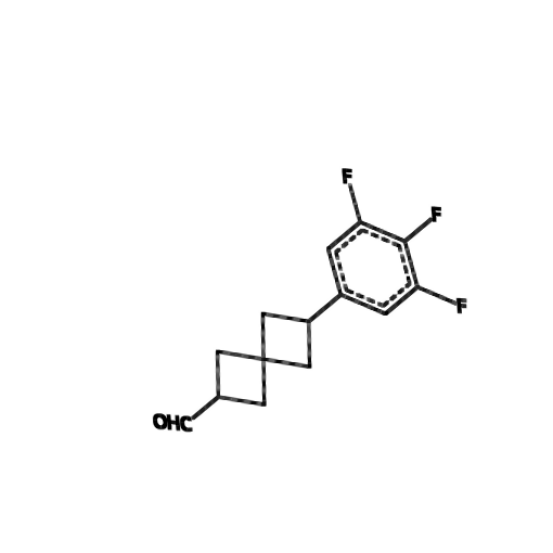 O=CC1CC2(C1)CC(c1cc(F)c(F)c(F)c1)C2